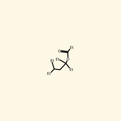 CCC(=O)OC(CC)(CC)CC(CC)CC